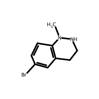 CN1NCCc2cc(Br)ccc21